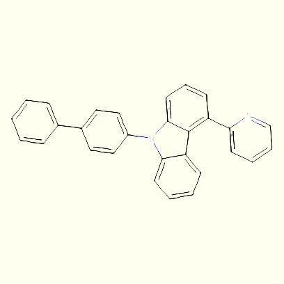 c1ccc(-c2ccc(-n3c4ccccc4c4c(-c5ccccn5)cccc43)cc2)cc1